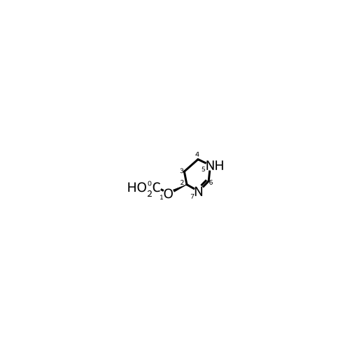 O=C(O)O[C@H]1CCNC=N1